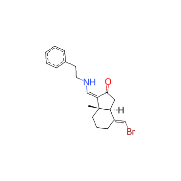 C[C@]12CCC/C(=C\Br)[C@@H]1CC(=O)C2=CNCCc1ccccc1